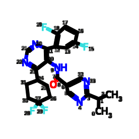 CC(C)c1ncc(C(=O)Nc2c(-c3cc(F)ccc3F)ncnc2C2CCC(F)(F)CC2)cn1